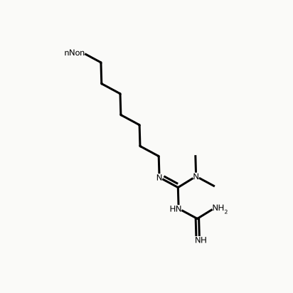 CCCCCCCCCCCCCCCCN=C(NC(=N)N)N(C)C